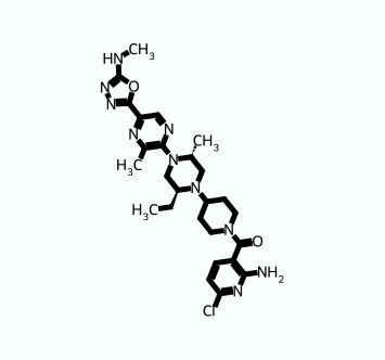 CC[C@H]1CN(c2ncc(-c3nnc(NC)o3)nc2C)[C@H](C)CN1C1CCN(C(=O)c2ccc(Cl)nc2N)CC1